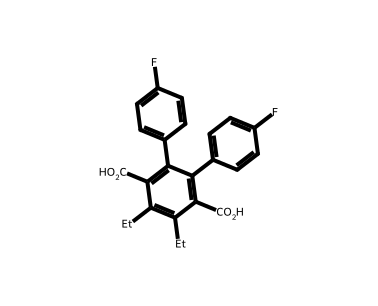 CCc1c(CC)c(C(=O)O)c(-c2ccc(F)cc2)c(-c2ccc(F)cc2)c1C(=O)O